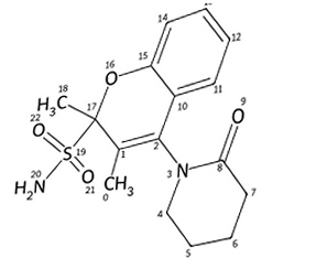 CC1=C(N2CCCCC2=O)c2ccccc2OC1(C)S(N)(=O)=O